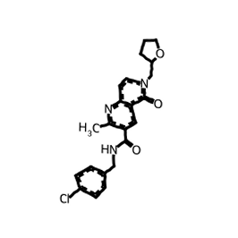 Cc1nc2ccn(CC3CCCO3)c(=O)c2cc1C(=O)NCc1ccc(Cl)cc1